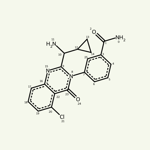 NC(=O)c1cccc(-n2c(C(N)C3CC3)nc3cccc(Cl)c3c2=O)c1